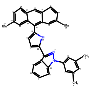 Cc1cc(C)cc(-n2nc(-c3ccc(-c4c5cc(C(C)(C)C)ccc5cc5ccc(C(C)(C)C)cc45)[nH]3)c3ccccc32)c1